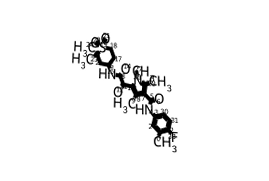 Cc1cc(NC(=O)c2c(C)c(C(=O)C(=O)NC3CCS(=O)(=O)C(C)(C)C3)n(C)c2C)ccc1F